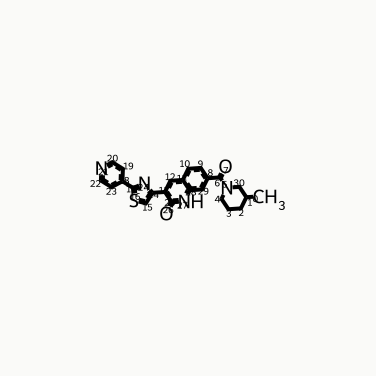 CC1CCCN(C(=O)c2ccc3cc(-c4csc(-c5ccncc5)n4)c(=O)[nH]c3c2)C1